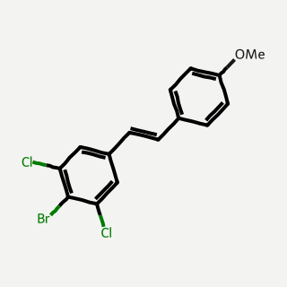 COc1ccc(C=Cc2cc(Cl)c(Br)c(Cl)c2)cc1